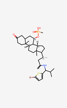 C=C(C[C@@H](C)C1CC[C@H]2C3[C@H](OP(C)(=O)O)CC4CC(=O)CCC4(C)[C@H]3CCC12C)NC(c1ccc(Br)s1)C(C)C